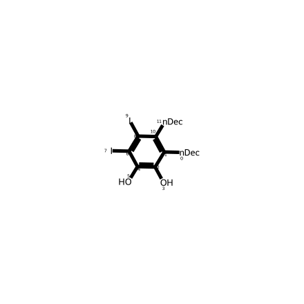 CCCCCCCCCCc1c(O)c(O)c(I)c(I)c1CCCCCCCCCC